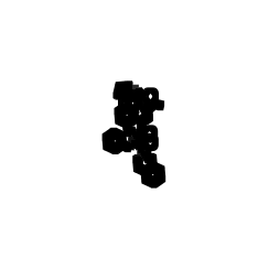 Cc1nc(C=CC(=O)N(Cc2ccc(-n3cccn3)cc2)[C@@H](Cc2ccccc2)C(=O)N2CCc3ccccc3C2)c(C)o1